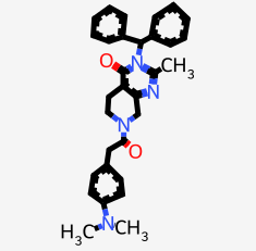 Cc1nc2c(c(=O)n1C(c1ccccc1)c1ccccc1)CCN(C(=O)Cc1ccc(N(C)C)cc1)C2